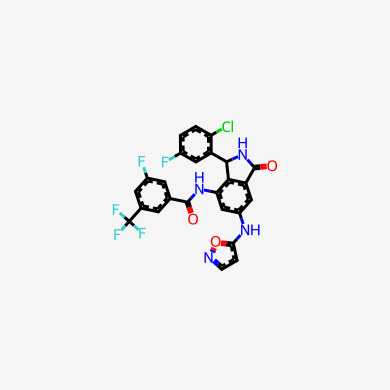 O=C(Nc1cc(Nc2ccno2)cc2c1C(c1cc(F)ccc1Cl)NC2=O)c1cc(F)cc(C(F)(F)F)c1